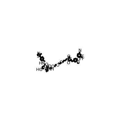 COc1cc(/C=C2\SC(=O)N(CCCCOCCOCCOCC(=O)N[C@H](C(=O)N3C[C@H](O)C[C@H]3C(=O)NCc3ccc(-c4scnc4C)cc3)C(C)(C)C)C2=O)ccc1Oc1ccc(C#N)cc1C(F)(F)F